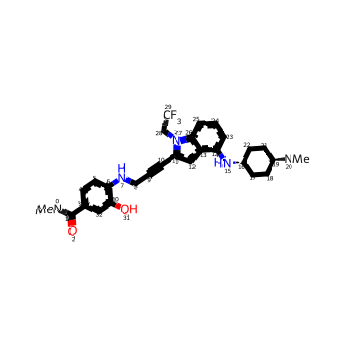 CNC(=O)c1ccc(NCC#Cc2cc3c(N[C@H]4CC[C@H](NC)CC4)cccc3n2CC(F)(F)F)c(O)c1